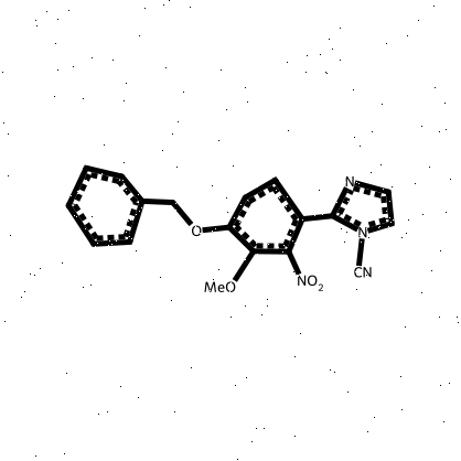 COc1c(OCc2ccccc2)ccc(-c2nccn2C#N)c1[N+](=O)[O-]